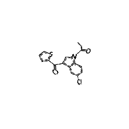 CC(=O)n1cc(C(=O)c2cccs2)c2cc(Cl)ccc21